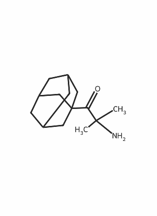 CC(C)(N)C(=O)C12CC3CC(CC(C3)C1)C2